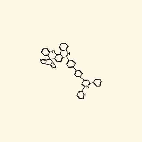 c1ccc(-c2cc(-c3ccc(-c4ccc(-c5nc6ccccc6c6c7c(ccc56)C5(c6ccccc6O7)c6ccccc6-c6ccccc65)cc4)cc3)cc(-c3ccccn3)n2)cc1